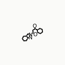 O=c1cc(-n2cc3ccccc3n2)oc2ccccc12